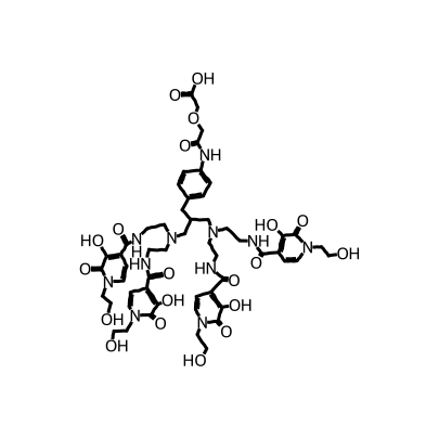 O=C(O)COCC(=O)Nc1ccc(CC(CN(CCNC(=O)c2ccn(CCO)c(=O)c2O)CCNC(=O)c2ccn(CCO)c(=O)c2O)CN(CCNC(=O)c2ccn(CCO)c(=O)c2O)CCNC(=O)c2ccn(CCO)c(=O)c2O)cc1